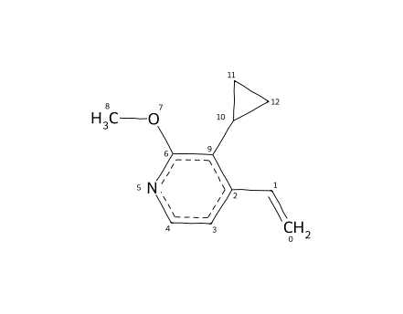 C=Cc1ccnc(OC)c1C1CC1